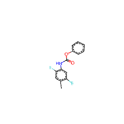 Cc1cc(F)c(NC(=O)Oc2ccccc2)cc1F